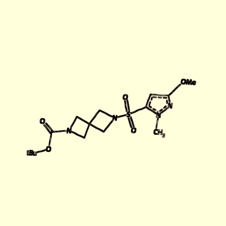 COc1cc(S(=O)(=O)N2CC3(CN(C(=O)OC(C)(C)C)C3)C2)n(C)n1